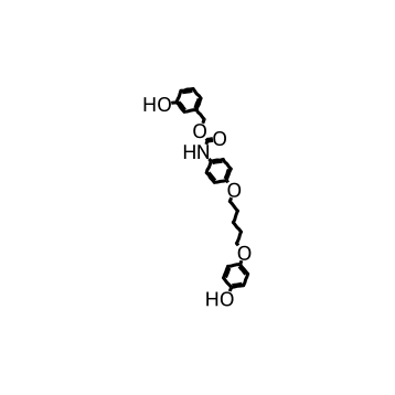 O=C(Nc1ccc(OCCCCCOc2ccc(O)cc2)cc1)OCc1cccc(O)c1